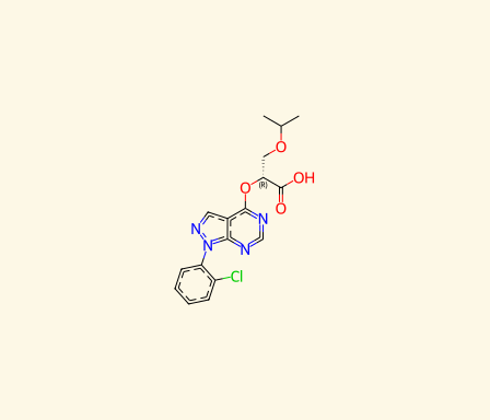 CC(C)OC[C@@H](Oc1ncnc2c1cnn2-c1ccccc1Cl)C(=O)O